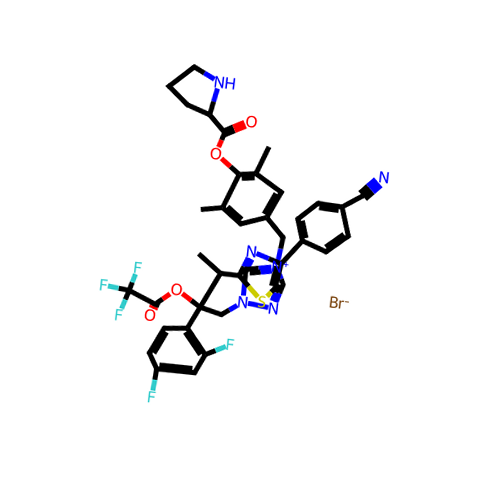 Cc1cc(C[n+]2cnn(CC(OC(=O)C(F)(F)F)(c3ccc(F)cc3F)C(C)c3nc(-c4ccc(C#N)cc4)cs3)c2)cc(C)c1OC(=O)C1CCCN1.[Br-]